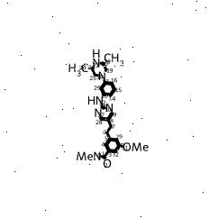 CNC(=O)c1cc(CCc2cnc(Nc3cccc(N4C[C@@H](C)N[C@@H](C)C4)c3)nc2)cc(OC)c1